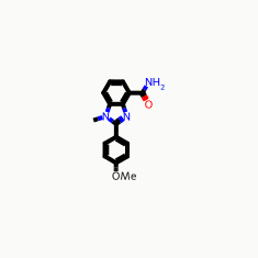 COc1ccc(-c2nc3c(C(N)=O)cccc3n2C)cc1